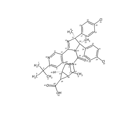 CCOc1cc(C(C)(C)C)ncc1C1=N[C@@](C)(c2ccc(Cl)cc2)[C@@](C)(c2ccc(Cl)cc2)N1C(=O)N1CC2C(C(=O)O)[C@H]2C1